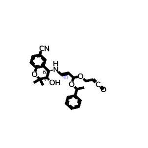 CC(OC(/C=C/N[C@H]1c2cc(C#N)ccc2OC(C)(C)[C@@H]1O)OCC=C=O)c1ccccc1